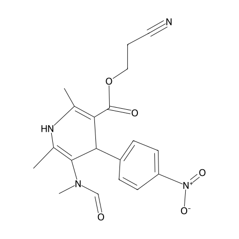 CC1=C(C(=O)OCCC#N)C(c2ccc([N+](=O)[O-])cc2)C(N(C)C=O)=C(C)N1